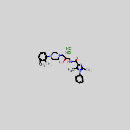 Cc1cccc(N2CCN(CC(O)CNC(=O)c3nc(C)n(-c4ccccc4)c3C)CC2)c1C.Cl.Cl